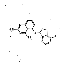 Nc1nc(N)c2c(OC3CCc4c(F)cccc43)cccc2n1